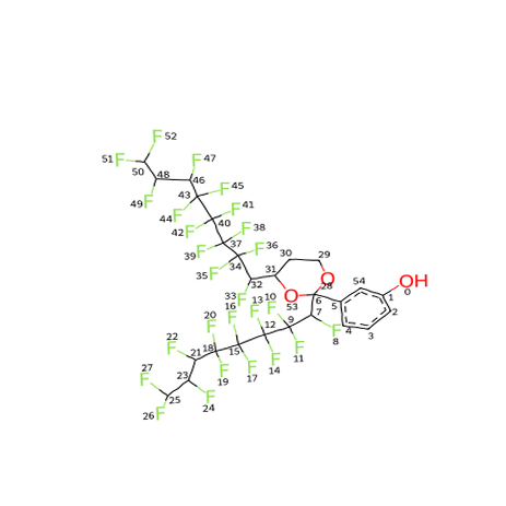 Oc1cccc(C2(C(F)C(F)(F)C(F)(F)C(F)(F)C(F)(F)C(F)C(F)C(F)F)OCCC(C(F)C(F)(F)C(F)(F)C(F)(F)C(F)(F)C(F)C(F)C(F)F)O2)c1